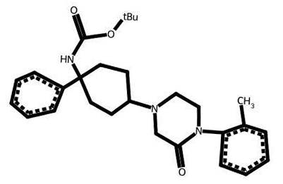 Cc1ccccc1N1CCN(C2CCC(NC(=O)OC(C)(C)C)(c3ccccc3)CC2)CC1=O